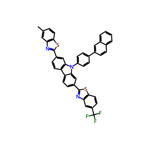 Cc1ccc2sc(-c3ccc4c5ccc(-c6nc7cc(C(F)(F)F)ccc7s6)cc5n(-c5ccc(-c6ccc7ccccc7c6)cc5)c4c3)nc2c1